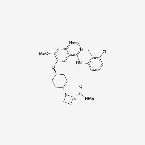 CNC(=O)[C@@H]1CCN1[C@H]1CC[C@H](Oc2cc3c(Nc4cccc(Cl)c4F)ncnc3cc2OC)CC1